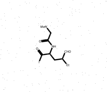 CCC(C=O)CC(NC(=O)CNC)C(=O)I